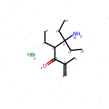 Br.C=C(C)C(=O)C(CC)C(N)(CC)CC